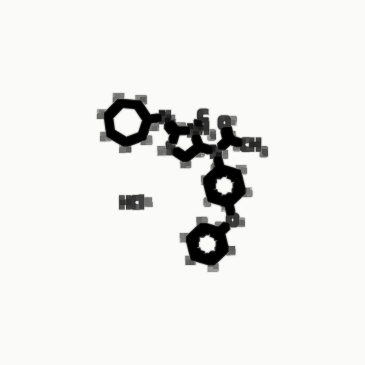 CC(=O)N(c1ccc(Oc2ccccc2)cc1)C1CSC(=NC2CCCCCC2)N1C.Cl